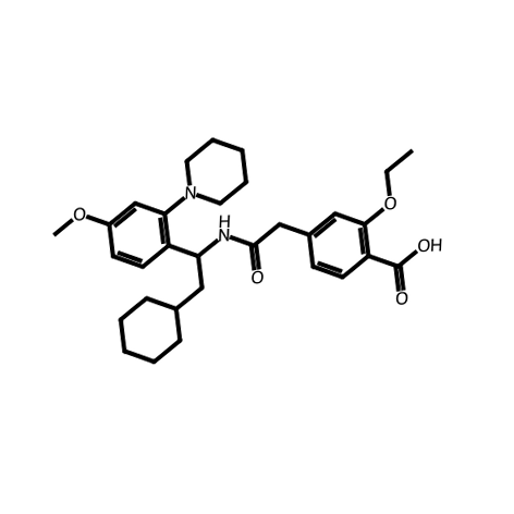 CCOc1cc(CC(=O)NC(CC2CCCCC2)c2ccc(OC)cc2N2CCCCC2)ccc1C(=O)O